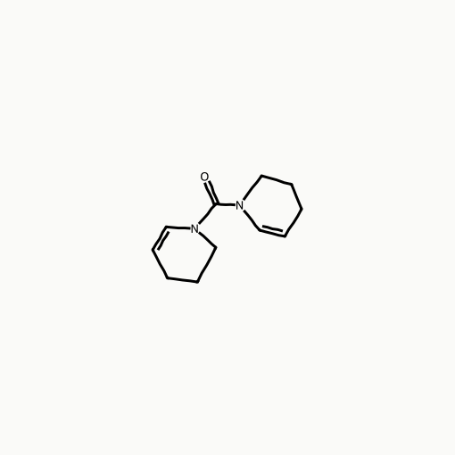 O=C(N1C=CCCC1)N1C=CCCC1